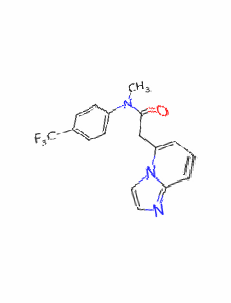 CN(C(=O)Cc1cccc2nccn12)c1ccc(C(F)(F)F)cc1